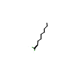 [CH2]CCCCCCC=C(F)F